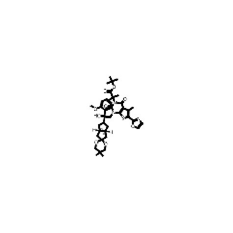 COc1ccccc1C(O)(Cn1c(=O)n(C(C)(C)C(=O)OC(C)(C)C)c(=O)c2c(C)c(-c3ncco3)sc21)C1C[C@@H]2CC3(C[C@@H]2C1)OCC(C)(C)CO3